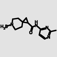 BN1CCC2(CC1)CC2C(=O)Nc1ccnc(C)n1